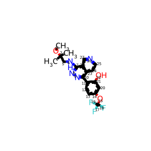 COC(C)(C)CNc1nnc(-c2ccc(OC(F)(F)F)cc2O)c2ccncc12